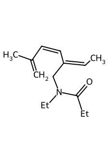 C=C(C)/C=C\C(=C/C)CN(CC)C(=O)CC